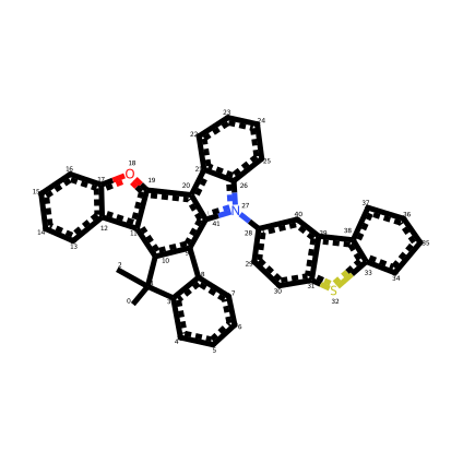 CC1(C)c2ccccc2-c2c1c1c3ccccc3oc1c1c3ccccc3n(-c3ccc4sc5ccccc5c4c3)c21